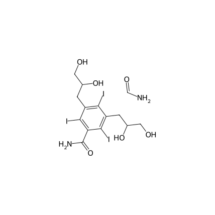 NC(=O)c1c(I)c(CC(O)CO)c(I)c(CC(O)CO)c1I.NC=O